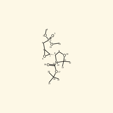 COP(=O)(CC1OC1[C@@H]1COC(C)(C)N1C(=O)OC(C)(C)C)OC